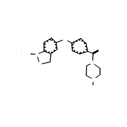 CB1OCc2cc(Oc3ccc(C(=O)N4CCN(C(C)=O)CC4)cc3)ccc21